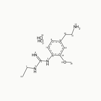 CCNC(=N)Nc1ccc(CCN)cc1OC.Cl.Cl